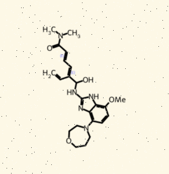 C=C/C(=C\C=C\C(=O)N(C)C)C(O)Nc1nc2c(N3CCCOCC3)ccc(OC)c2[nH]1